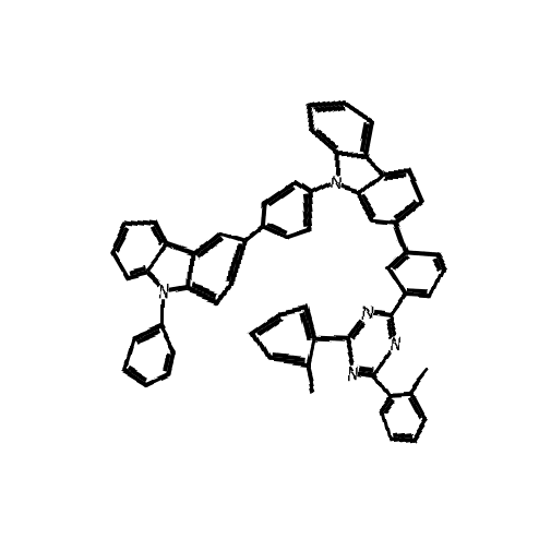 Cc1ccccc1-c1nc(-c2cccc(-c3ccc4c5ccccc5n(-c5ccc(-c6ccc7c(c6)c6ccccc6n7-c6ccccc6)cc5)c4c3)c2)nc(-c2ccccc2C)n1